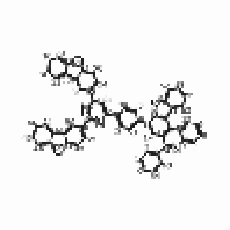 c1ccc(-c2nc3ccccc3c3c2cc(-c2ccc(-c4cc(-c5ccc6oc7ccccc7c6c5)nc(-c5ccc6oc7ccccc7c6c5)n4)cc2)c2sc4ccccc4c23)cc1